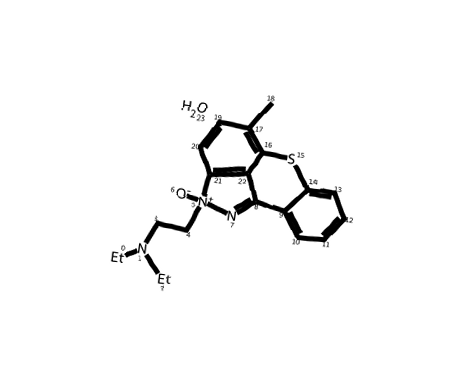 CCN(CC)CC[N+]1([O-])N=C2c3ccccc3Sc3c(C)ccc1c32.O